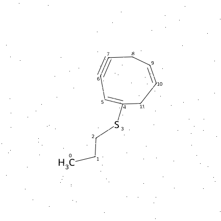 CCCS/C1=C/C#CC/C=C\C1